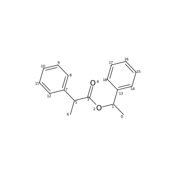 CC(OC(=O)C(C)c1ccccc1)c1ccccc1